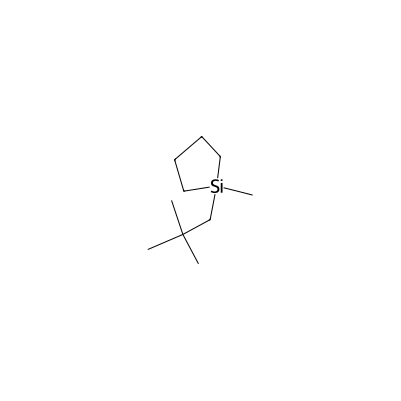 CC(C)(C)C[Si]1(C)CCCC1